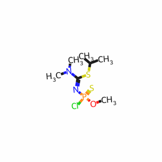 COP(=S)(Cl)N=C(SC(C)C)N(C)C